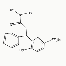 CCOC(=O)c1ccc(O)c(C(CC(=O)N(C(C)C)C(C)C)c2ccccc2)c1